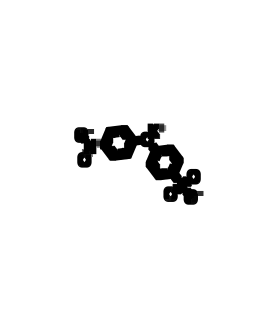 O=[N+]([O-])c1ccc(Oc2ccc(S(=O)(=O)[O-])cc2)cc1.[K+]